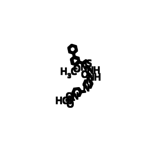 COc1ccc(C2CCCCC2)cc1-c1csc(NC(=O)NN2CCN(CC3CCCN(CS(=O)(=O)O)C3)CC2)n1